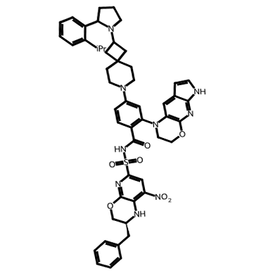 CC(C)c1ccccc1C1CCCN1C1CC2(CCN(c3ccc(C(=O)NS(=O)(=O)c4cc([N+](=O)[O-])c5c(n4)OC[C@H](Cc4ccccc4)N5)c(N4CCOc5nc6[nH]ccc6cc54)c3)CC2)C1